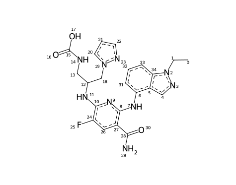 CCn1ncc2c(Nc3nc(NC(CNC(=O)O)Cn4cccn4)c(F)cc3C(N)=O)cccc21